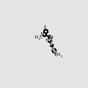 Cc1cc(-c2cnn3cc(N4CC(N5CCN(C)CC5)C4)cnc23)c2ccc(F)cc2n1